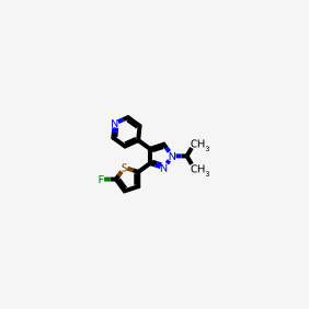 CC(C)n1cc(-c2ccncc2)c(-c2ccc(F)s2)n1